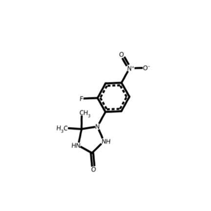 CC1(C)NC(=O)NN1c1ccc([N+](=O)[O-])cc1F